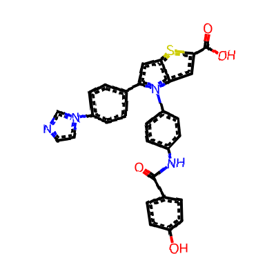 O=C(Nc1ccc(-n2c(-c3ccc(-n4ccnc4)cc3)cc3sc(C(=O)O)cc32)cc1)c1ccc(O)cc1